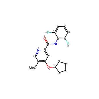 COc1cnc(C(=O)Nc2c(F)cccc2F)cc1OC1CCCC1